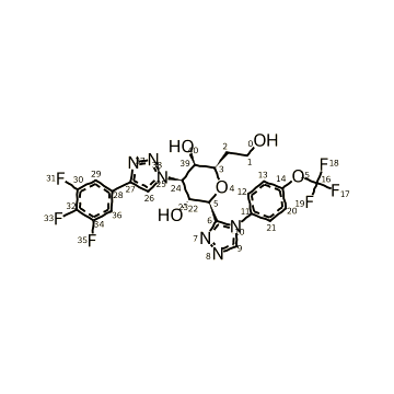 OCC[C@H]1O[C@@H](c2nncn2-c2ccc(OC(F)(F)F)cc2)[C@H](O)[C@@H](n2cc(-c3cc(F)c(F)c(F)c3)nn2)[C@H]1O